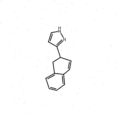 C1=CC(c2cc[nH]n2)Cc2ccccc21